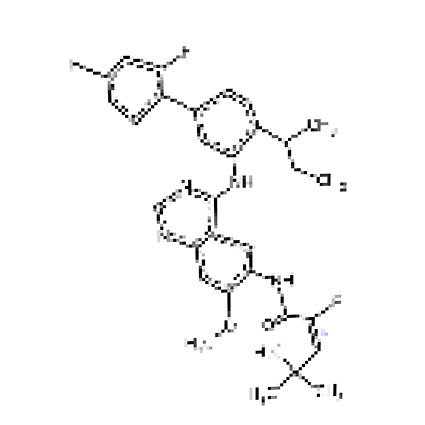 CCC(C)c1ccc(-c2ccc(F)cc2F)cc1Nc1ncnc2cc(OC)c(NC(=O)/C(F)=C\C(C)(C)C)cc12